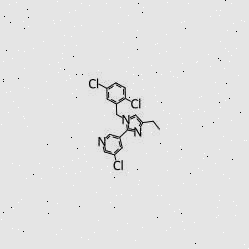 CCc1cn(Cc2cc(Cl)ccc2Cl)c(-c2cncc(Cl)c2)n1